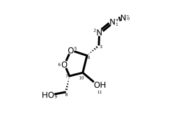 [N-]=[N+]=NC[C@H]1OO[C@@H](CO)C1O